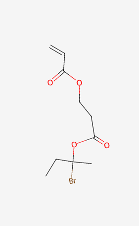 C=CC(=O)OCCC(=O)OC(C)(Br)CC